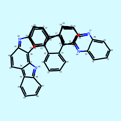 c1ccc(-c2ccc3c(c2-c2ccccc2-c2c(-c4ccccc4)ccc4nc5ccccc5nc24)-c2c4c(ccc2=N3)=c2ccccc2=N4)cc1